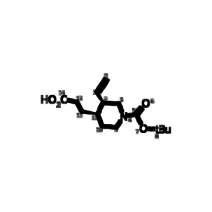 C=C[C@H]1CN(C(=O)OC(C)(C)C)CC[C@H]1CCC(=O)O